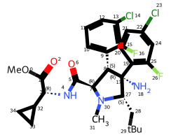 COC(=O)[C@H](NC(=O)[C@H]1[C@H](c2cccc(Cl)c2F)[C@@](N)(c2ccc(Cl)cc2F)[C@H](CC(C)(C)C)N1C)C1CC1